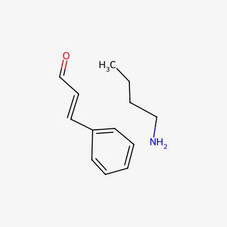 CCCCN.O=CC=Cc1ccccc1